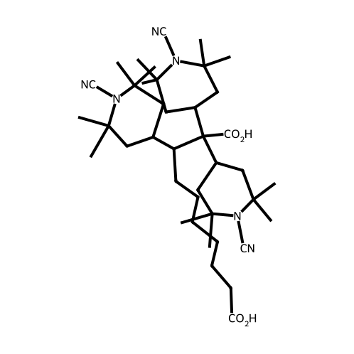 CC1(C)CC(C(CCCCCCC(=O)O)C(C(=O)O)(C2CC(C)(C)N(C#N)C(C)(C)C2)C2CC(C)(C)N(C#N)C(C)(C)C2)CC(C)(C)N1C#N